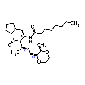 C=C1OCCO/C1=C/C=C(\C)C(N=O)[C@@H](CN1CCCC1)NC(=O)CCCCCCC